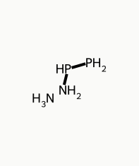 N.NPP